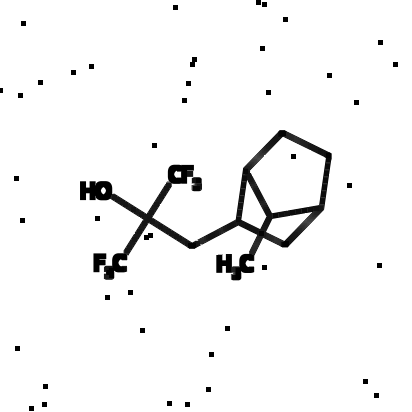 CC1C2CCC1C(CC(O)(C(F)(F)F)C(F)(F)F)C2